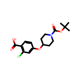 CC(C)(C)OC(=O)N1CCC(Oc2ccc(C(=O)O)c(Cl)c2)CC1